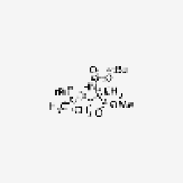 COC(=O)C(C)(CO[Si](C)(C)C(C)(C)C)NC(=O)OC(C)(C)C